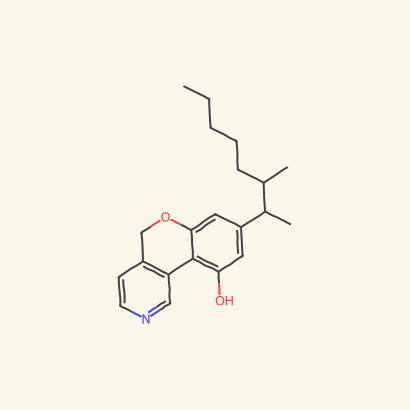 CCCCCC(C)C(C)c1cc(O)c2c(c1)OCc1ccncc1-2